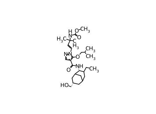 CCC1CC2CC(C[C@@H](CO)C2)[C@@H]1NC(=O)c1cnn(/C=C/C(C)(C)NC(=O)OC)c1OCC(C)C